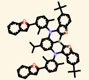 Cc1ccc(-c2cc3ccccc3o2)c(C)c1N1c2cc(C(C)C)cc3c2B(c2sc4ccc(C(C)(C)C)cc4c21)c1sc2ccc(C(C)(C)C)cc2c1N3c1c(C)ccc(-c2cc3ccccc3o2)c1C